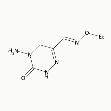 CCON=CC1=NNC(=O)N(N)C1